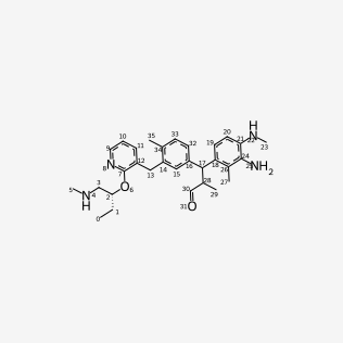 CC[C@H](CNC)Oc1ncccc1Cc1cc(C(c2ccc(NC)c(N)c2C)C(C)C=O)ccc1C